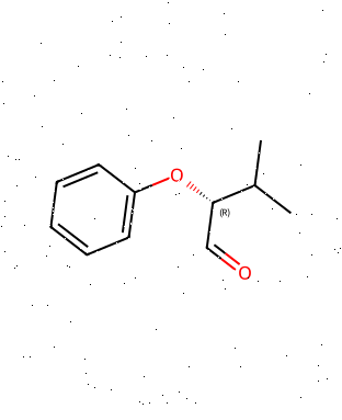 CC(C)[C@H](C=O)Oc1ccccc1